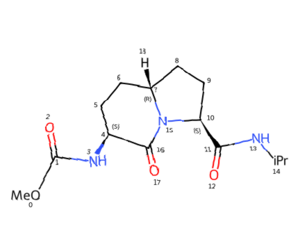 COC(=O)N[C@H]1CC[C@@H]2CC[C@@H](C(=O)NC(C)C)N2C1=O